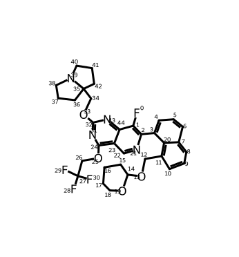 Fc1c(-c2cccc3cccc(COC4CCCCO4)c23)ncc2c(OCC(F)(F)F)nc(OCC34CCCN3CCC4)nc12